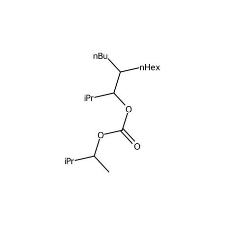 CCCCCCC(CCCC)C(OC(=O)OC(C)C(C)C)C(C)C